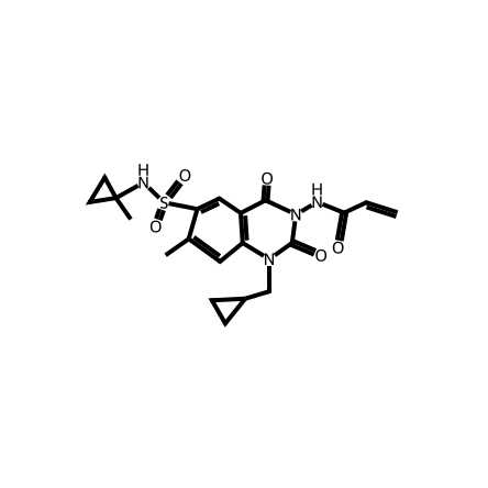 C=CC(=O)Nn1c(=O)c2cc(S(=O)(=O)NC3(C)CC3)c(C)cc2n(CC2CC2)c1=O